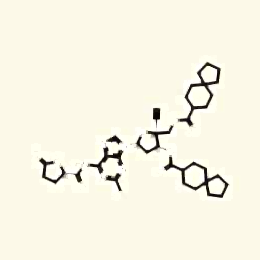 C#C[C@]1(COC(=O)C2CCC3(CCCC3)CC2)O[C@@H](n2cnc3c(NC(=O)[C@H]4CCC(=O)O4)nc(C)nc32)C[C@@H]1OC(=O)C1CCC2(CCCC2)CC1